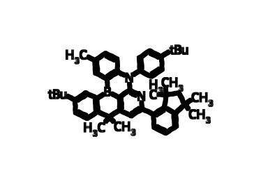 Cc1ccc2c(c1)B1c3cc(C(C)(C)C)ccc3C(C)(C)c3cc(-c4cccc5c4C(C)(C)CC5(C)C)nc(c31)N2c1ccc(C(C)(C)C)cc1